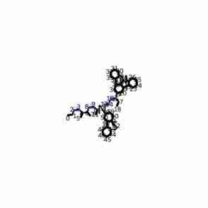 C=C/C=C\C(=C)C(=C)/C=C\C(=C)N(/C=C/C=C(\C=C)c1cc2c3ccccc3n3c4ccccc4c(c1)c23)c1ccc2sc3ccccc3c2c1